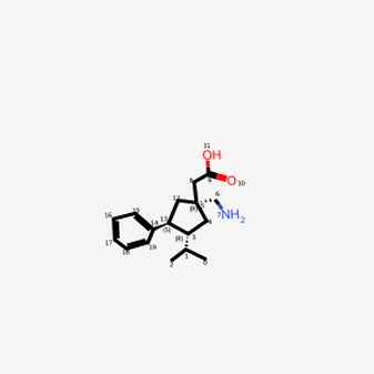 CC(C)[C@H]1C[C@](CN)(CC(=O)O)C[C@@H]1c1ccccc1